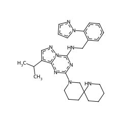 CC(C)c1cnn2c(NCc3ccccc3-n3cccn3)nc(N3CCCC4(CCCCN4)C3)nc12